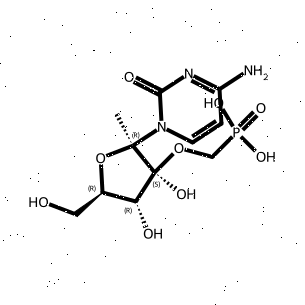 C[C@@]1(n2ccc(N)nc2=O)O[C@H](CO)[C@@H](O)[C@]1(O)OCP(=O)(O)O